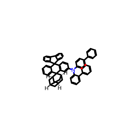 c1ccc(-c2ccc(N(c3ccc4c(c3)C3(c5ccccc5C45c4ccccc4-c4ccccc45)[C@H]4C[C@@H]5C[C@@H](C[C@@H]3C5)C4)c3ccccc3-c3ccccc3)cc2)cc1